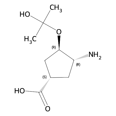 CC(C)(O)O[C@@H]1C[C@@H](C(=O)O)C[C@H]1N